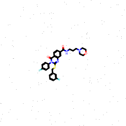 O=C(NCCCN1CCOCC1)c1ccc2c(=O)n(-c3ccc(F)cc3)c(SCc3cccc(F)c3)nc2c1